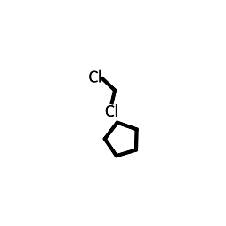 C1CCCC1.ClCCl